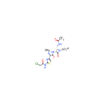 CON=C(C(=O)N[C@H]1C(=O)N(S(=O)(=O)O)[C@H]1CNC(=O)C(F)(F)F)c1csc(NC(=O)CCl)n1